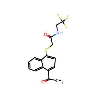 CC(=O)c1ccc(SCC(=O)NCC(F)(F)F)c2ccccc12